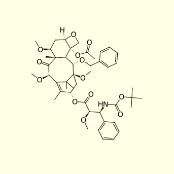 CO[C@H]1C(=O)[C@@]2(C)C([C@H](OCc3ccccc3)[C@]3(OC)C[C@H](OC(=O)[C@H](OC)[C@@H](NC(=O)OC(C)(C)C)c4ccccc4)C(C)=C1C3(C)C)[C@]1(OC(C)=O)CO[C@@H]1C[C@@H]2OC